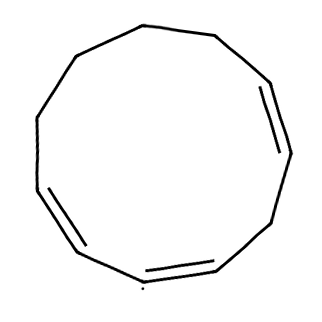 [C]1=CCC=CCCCCC=C1